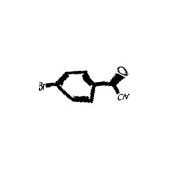 N#CC(=O)c1ccc(Br)cc1